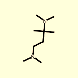 CN(C)CCC(C)(C)N(C)C